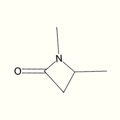 CC1CC(=O)N1C